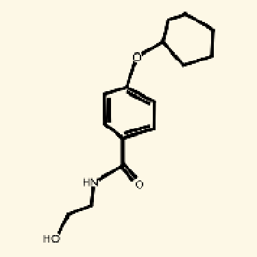 O=C(NCCO)c1ccc(OC2CCCCC2)cc1